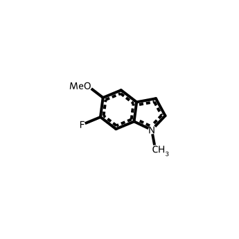 COc1cc2ccn(C)c2cc1F